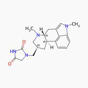 CN1C[C@H](CN2CC(=O)NC2=O)C[C@@H]2c3cccc4c3c(cn4C)C[C@H]21